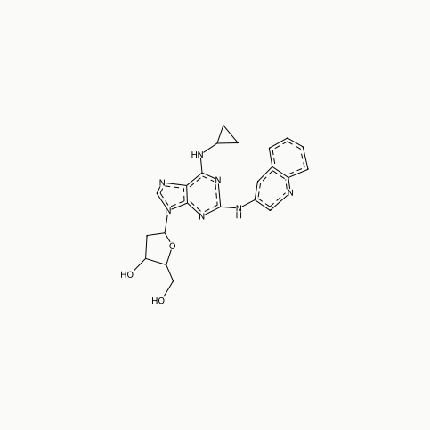 OCC1OC(n2cnc3c(NC4CC4)nc(Nc4cnc5ccccc5c4)nc32)CC1O